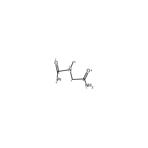 CC(C)C(=O)N(C)CC(N)=O